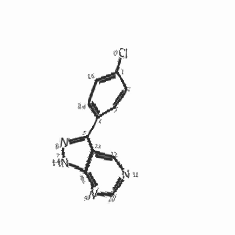 Clc1ccc(-c2n[nH]c3ncncc23)cc1